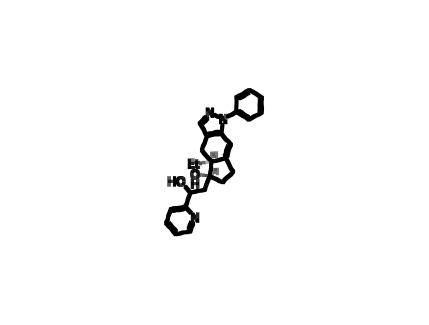 CC[C@]12Cc3cnn(-c4ccccc4)c3C=C1CC[C@@]2(O)CC(O)c1ccccn1